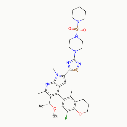 CC(=O)[C@@H](OC(C)(C)C)c1c(C)nc2c(cc(-c3nc(N4CCN(S(=O)(=O)N5CCCCC5)CC4)ns3)n2C)c1-c1cc(F)c2c(c1C)CCCO2